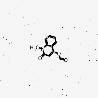 Cn1c(=O)cc(OC=O)c2ccccc21